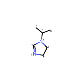 CC(C)N1C=NCC1